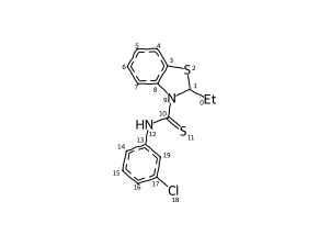 CCC1Sc2ccccc2N1C(=S)Nc1cccc(Cl)c1